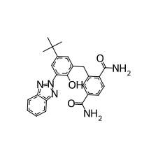 CC(C)(C)c1cc(Cc2cc(C(N)=O)ccc2C(N)=O)c(O)c(-n2nc3ccccc3n2)c1